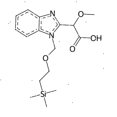 COC(C(=O)O)c1nc2ccccc2n1COCC[Si](C)(C)C